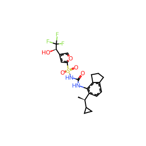 C[C@@H](c1ccc2c(c1NC(=O)NS(=O)(=O)c1cc([C@@H](O)C(F)(F)F)co1)CCC2)C1CC1